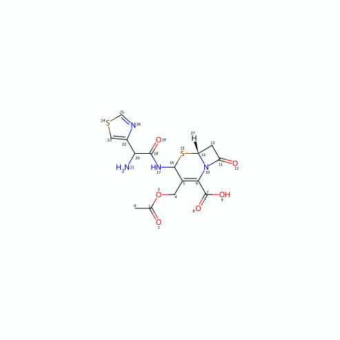 CC(=O)OCC1=C(C(=O)O)N2C(=O)C[C@H]2SC1NC(=O)C(N)c1cscn1